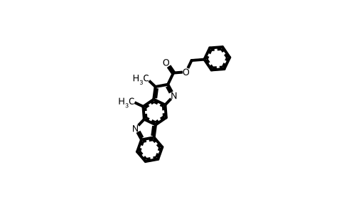 CC1=c2c(cc3c(c2C)N=c2ccccc2=3)N=C1C(=O)OCc1ccccc1